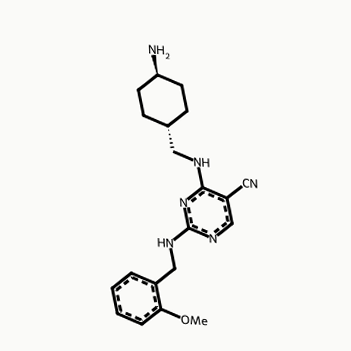 COc1ccccc1CNc1ncc(C#N)c(NC[C@H]2CC[C@H](N)CC2)n1